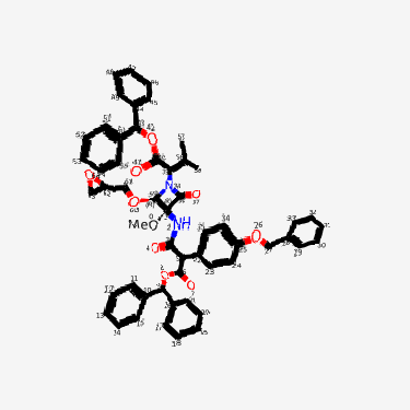 CO[C@@]1(NC(=O)C(C(=O)OC(c2ccccc2)c2ccccc2)c2ccc(OCc3ccccc3)cc2)C(=O)N(C(C(=O)OC(c2ccccc2)c2ccccc2)=C(C)C)[C@@H]1OCC1CO1